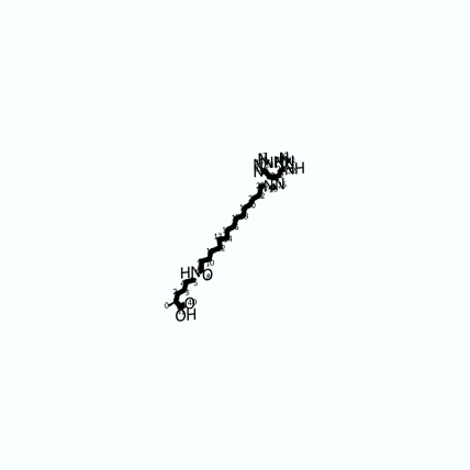 C[C@@H](CCCCNC(=O)CCCCCCCCCCCCCCCn1cnc(-c2nnn[nH]2)c1-c1nnn[nH]1)C(=O)O